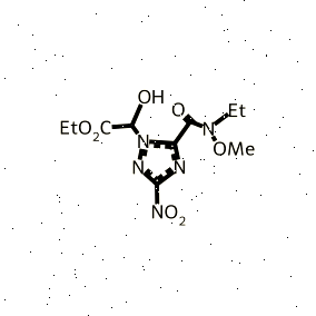 CCOC(=O)C(O)n1nc([N+](=O)[O-])nc1C(=O)N(CC)OC